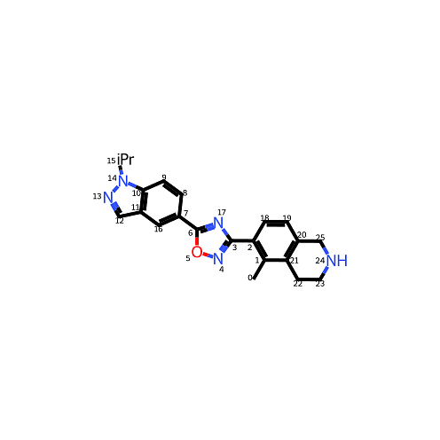 Cc1c(-c2noc(-c3ccc4c(cnn4C(C)C)c3)n2)ccc2c1CCNC2